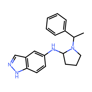 CC(c1ccccc1)N1CCCC1Nc1ccc2[nH]ncc2c1